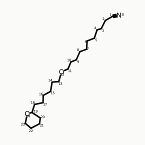 N#CCCCCCCCCCCOCCCCCCC1CCCCO1